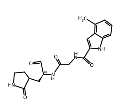 Cc1cccc2[nH]c(C(=O)NCC(=O)N[C@H](C=O)CC3CCNC3=O)cc12